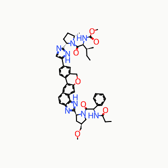 CCC(=O)N[C@@H](C(=O)N1C[C@@H](COC)C[C@H]1c1nc2ccc3cc4c(cc3c2[nH]1)OCc1cc(-c2cnc([C@@H]3CC[C@H](C)N3C(=O)[C@@H](NC(=O)OC)[C@@H](C)CC)[nH]2)ccc1-4)c1ccccc1